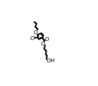 CCCCOc1ccc(C(=O)OCCCCCCO)cc1Cl